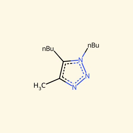 CCCCc1c(C)nnn1CCCC